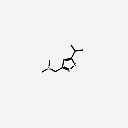 CC(C)c1cc(CN(C)C)ns1